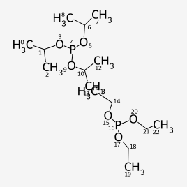 CC(C)OP(OC(C)C)OC(C)C.CCOP(OCC)OCC